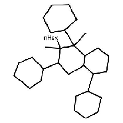 CCCCCCC1(C)C(C2CCCCC2)CC2C(C3CCCCC3)CCCC2C1(C)C1CCCCC1